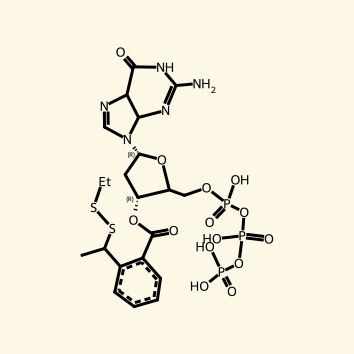 CCSSC(C)c1ccccc1C(=O)O[C@@H]1C[C@H](N2C=NC3C(=O)NC(N)=NC32)OC1COP(=O)(O)OP(=O)(O)OP(=O)(O)O